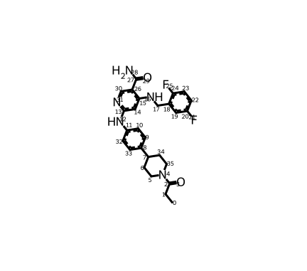 CCC(=O)N1CCC(c2ccc(Nc3cc(NCc4cc(F)ccc4F)c(C(N)=O)cn3)cc2)CC1